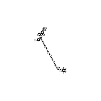 CC(C)(C)OC(=O)N1CCC2(CC1)C(=O)N(Cc1nc3cc(Cl)ccc3n1CCCCOCCOCCOCCOCCOCCOCCOCCOCCN1CCN(C(=O)Oc3c(F)c(F)c(F)c(F)c3F)CC1)c1cnccc12